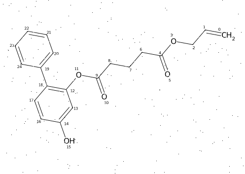 C=CCOC(=O)CCCC(=O)Oc1cc(O)ccc1-c1ccccc1